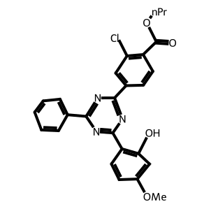 CCCOC(=O)c1ccc(-c2nc(-c3ccccc3)nc(-c3ccc(OC)cc3O)n2)cc1Cl